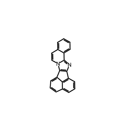 c1cc2c3c(cccc3c1)-c1c-2nc2c3ccccc3ccn12